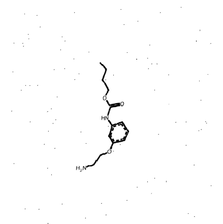 CCCCOC(=O)Nc1cccc(OCCN)c1